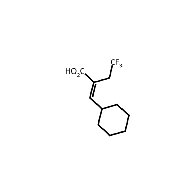 O=C(O)C(=CC1CCCCC1)CC(F)(F)F